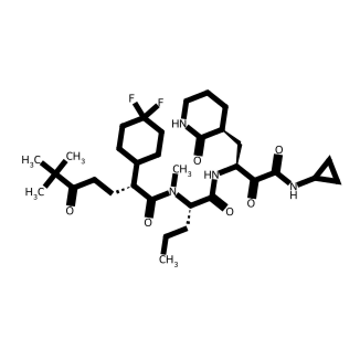 CCC[C@@H](C(=O)N[C@@H](C[C@@H]1CCCNC1=O)C(=O)C(=O)NC1CC1)N(C)C(=O)[C@H](CCC(=O)C(C)(C)C)C1CCC(F)(F)CC1